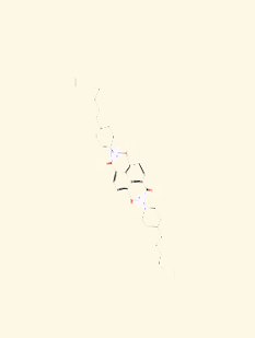 CCCCCC1CCC(N2C(=O)c3ccc4c5c(ccc(c35)C2=O)C(=O)N(C2CCC(CCCCC)CC2)C4=O)CC1